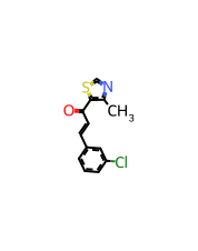 Cc1ncsc1C(=O)/C=C/c1cccc(Cl)c1